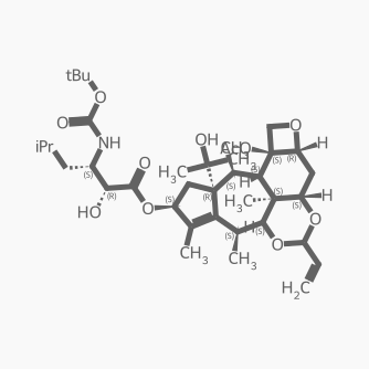 C=CC1O[C@H]2C[C@H]3OC[C@@]3(OC(C)=O)[C@H]3[C@H](C)[C@]4(C(C)(C)O)C[C@H](OC(=O)[C@H](O)[C@H](CC(C)C)NC(=O)OC(C)(C)C)C(C)=C4[C@H](C)[C@H](O1)[C@]23C